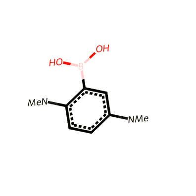 CNc1ccc(NC)c(B(O)O)c1